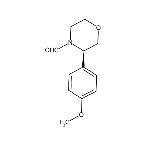 O=CN1CCOC[C@H]1c1ccc(OC(F)(F)F)cc1